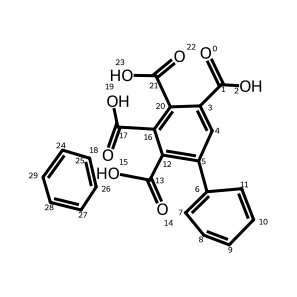 O=C(O)c1cc(-c2ccccc2)c(C(=O)O)c(C(=O)O)c1C(=O)O.c1ccccc1